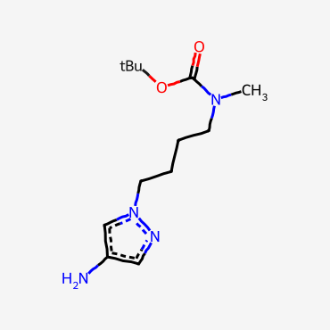 CN(CCCCn1cc(N)cn1)C(=O)OC(C)(C)C